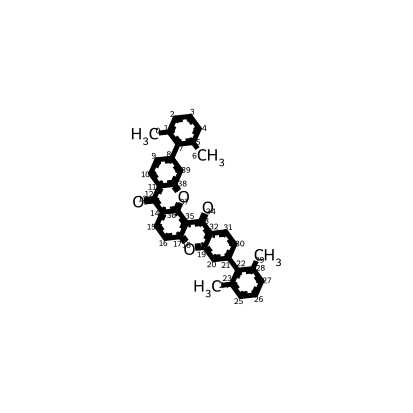 Cc1cccc(C)c1-c1ccc2c(=O)c3ccc4oc5cc(-c6c(C)cccc6C)ccc5c(=O)c4c3oc2c1